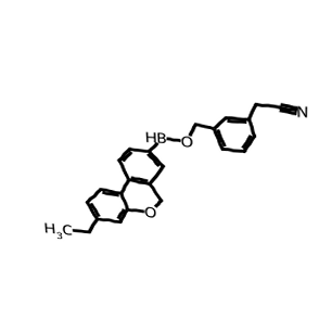 CCc1ccc2c(c1)OCc1cc(BOCc3cccc(CC#N)c3)ccc1-2